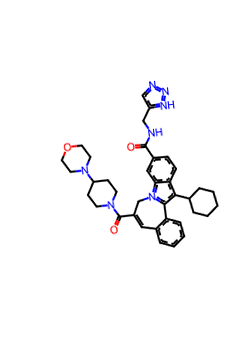 O=C(NCc1cnn[nH]1)c1ccc2c(C3CCCCC3)c3n(c2c1)CC(C(=O)N1CCC(N2CCOCC2)CC1)=Cc1ccccc1-3